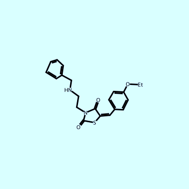 CCOc1ccc(C=C2SC(=O)N(CCNCc3ccccc3)C2=O)cc1